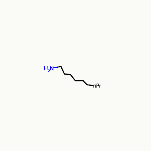 [CH2]CCCCCCCCN